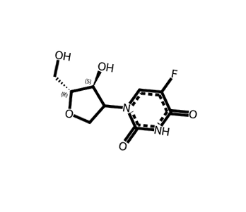 O=c1[nH]c(=O)n(C2CO[C@H](CO)[C@H]2O)cc1F